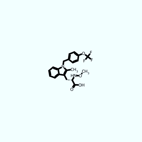 CON[C@@H](Cc1c(C)n(Cc2ccc(OC(F)(F)F)cc2)c2ccccc12)C(=O)O